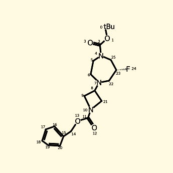 CC(C)(C)OC(=O)N1CCN(C2CN(C(=O)OCc3ccccc3)C2)C[C@@H](F)C1